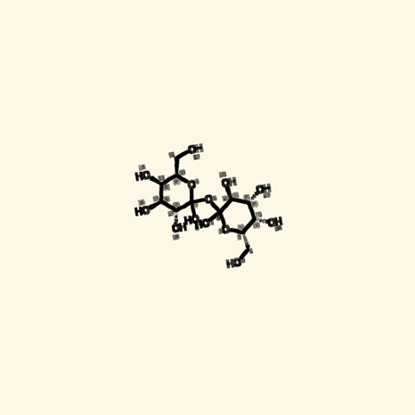 OC[C@@H]1OC(O)(OC2(O)O[C@H](CO)[C@H](O)[C@H](O)[C@H]2O)[C@@H](O)[C@H](O)[C@@H]1O